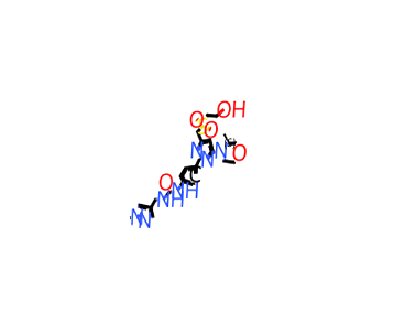 C[C@H]1COCCN1c1cc(CS(=O)(=O)CCO)nc(-c2ccc(NC(=O)NCc3cnn(C)c3)cc2)n1